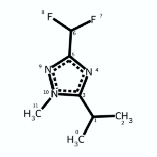 CC(C)c1nc(C(F)F)nn1C